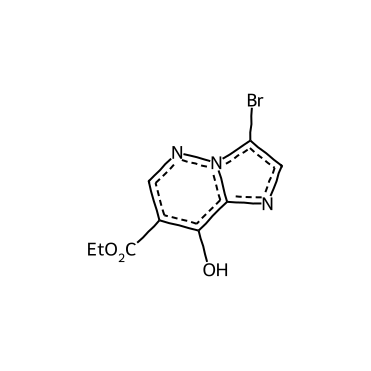 CCOC(=O)c1cnn2c(Br)cnc2c1O